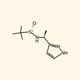 C[C@H](N[S@@+]([O-])C(C)(C)C)c1cc[nH]n1